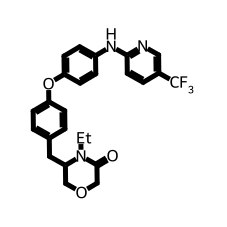 CCN1C(=O)COCC1Cc1ccc(Oc2ccc(Nc3ccc(C(F)(F)F)cn3)cc2)cc1